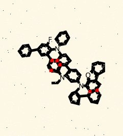 CCN1c2cc(N(c3ccccc3-c3ccccc3)c3cccc4c3oc3ccccc34)ccc2-c2ccc(N(c3ccccc3)c3c(F)cc(-c4ccccc4)cc3-c3ccccc3)c3cccc1c23